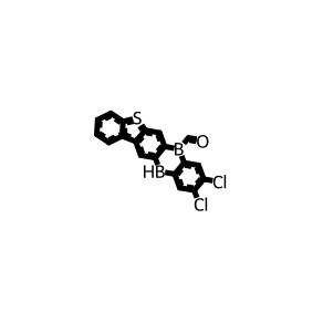 O=CB1c2cc(Cl)c(Cl)cc2Bc2cc3c(cc21)sc1ccccc13